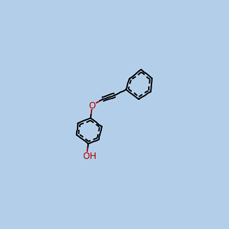 Oc1ccc(OC#Cc2ccccc2)cc1